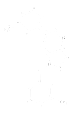 FC(F)(F)c1cncc(Cn2ncc3ncc(-c4cccc(C(F)(F)F)c4)cc32)c1